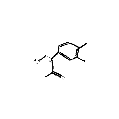 CC(=O)[C@H](CN)c1ccc(C)c(F)c1